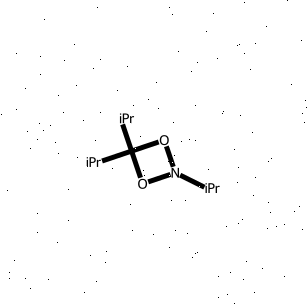 CC(C)N1OC(C(C)C)(C(C)C)O1